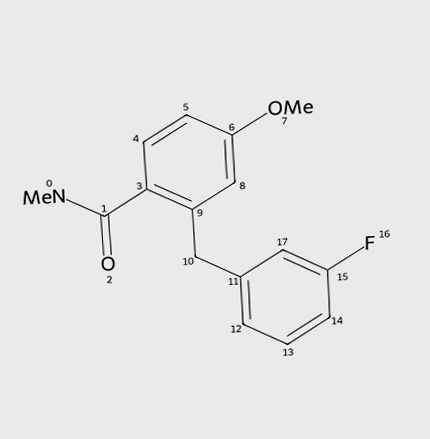 CNC(=O)c1ccc(OC)cc1Cc1cccc(F)c1